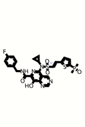 CP(C)(=O)c1ccc(/C=C/S(=O)(=O)N(c2nc(C(=O)NCc3ccc(F)cc3)c(O)c3ncncc23)C2CC2)s1